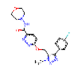 Cn1nnc(-c2ccc(F)cc2)c1COc1ccc(C(=O)NN2CCOCC2)nn1